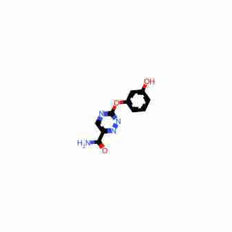 NC(=O)c1cnc(Oc2cccc(O)c2)nn1